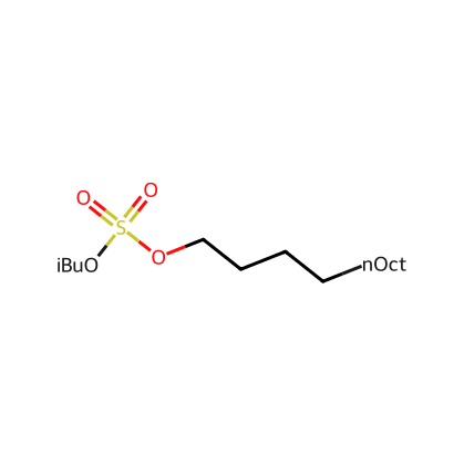 CCCCCCCCCCCCOS(=O)(=O)OCC(C)C